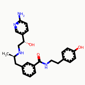 C[C@H](Cc1cccc(C(=O)NCCc2ccc(O)cc2)c1)NC[C@@H](O)c1ccc(N)nc1